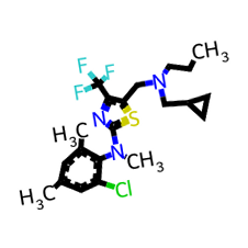 CCCN(Cc1sc(N(C)c2c(C)cc(C)cc2Cl)nc1C(F)(F)F)CC1CC1